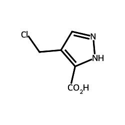 O=C(O)c1[nH]ncc1CCl